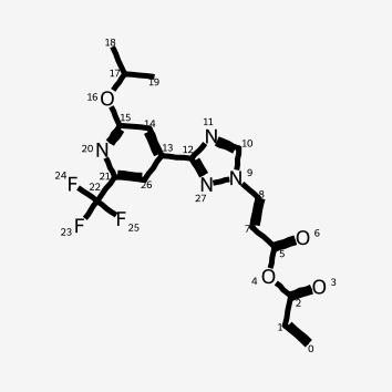 C=CC(=O)OC(=O)C=Cn1cnc(-c2cc(OC(C)C)nc(C(F)(F)F)c2)n1